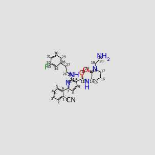 N#Cc1ccccc1-c1ccc(C(=O)N[C@H]2CCCN(CCN)C2=O)c(NCCc2cccc(F)c2)n1